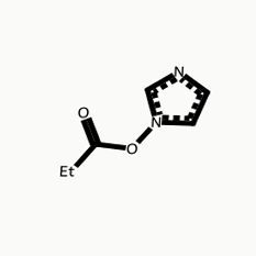 CCC(=O)On1ccnc1